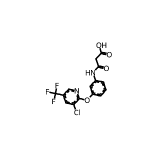 O=C(O)CC(=O)Nc1cccc(Oc2ncc(C(F)(F)F)cc2Cl)c1